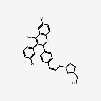 CC1=C(c2cccc(O)c2)C(c2ccc(/C=C\CN3CC[C@@H](CO)C3)cc2)Oc2ccc(O)cc21